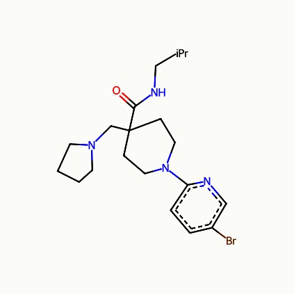 CC(C)CNC(=O)C1(CN2CCCC2)CCN(c2ccc(Br)cn2)CC1